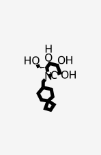 OC[C@@H]1[C@@H](O)[C@H](O)[C@@H](O)CN1CC1CCC2(CCC2)CC1